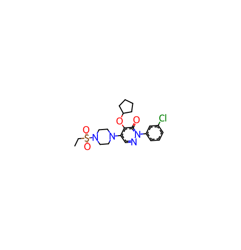 CCS(=O)(=O)N1CCN(c2cnn(-c3cccc(Cl)c3)c(=O)c2OC2CCCC2)CC1